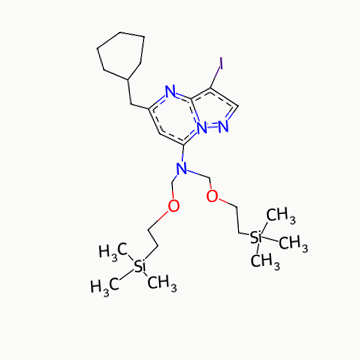 C[Si](C)(C)CCOCN(COCC[Si](C)(C)C)c1cc(CC2CCCCC2)nc2c(I)cnn12